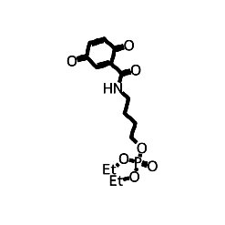 CCOP(=O)(OCC)OCCCCNC(=O)C1=CC(=O)C=CC1=O